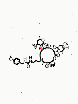 CC[C@H]1OC(=O)[C@H](C)[C@@H](O[C@@H](CCOC)O[C@@H](C)[C@@H](C)O)[C@H](C)[C@@H](O[C@@H]2O[C@H](C)C[C@H](N(C)C)[C@H]2O)[C@](C)(O)C[C@@H](C)CN(CCCNC(=O)NCc2ccc(OC)cc2)[C@H](C)[C@@H](O)[C@]1(C)O